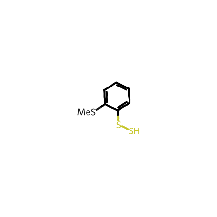 CSc1ccccc1SS